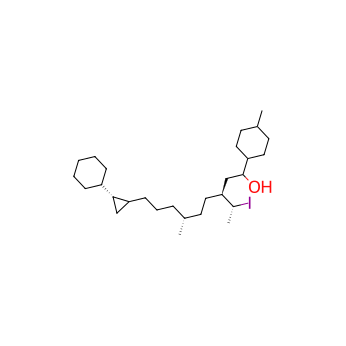 CC1CCC(C(O)C[C@H](CC[C@H](C)CCCC2C[C@@H]2C2CCCCC2)[C@@H](C)I)CC1